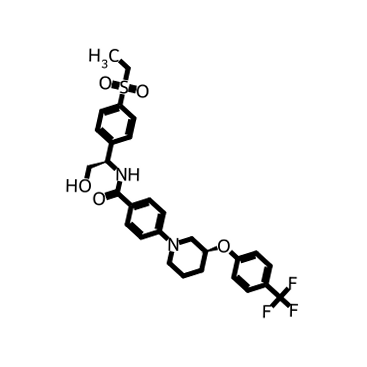 CCS(=O)(=O)c1ccc([C@H](CO)NC(=O)c2ccc(N3CCC[C@H](Oc4ccc(C(F)(F)F)cc4)C3)cc2)cc1